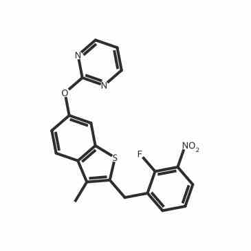 Cc1c(Cc2cccc([N+](=O)[O-])c2F)sc2cc(Oc3ncccn3)ccc12